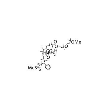 BNC(=O)C(CC(C)(C)C(C)C(CC(C)(C)C(C)(C)C(=O)OCCC(C)(C)OCCC(C)(C)OC)C(=O)O)C(C)C(C)C(c1ccccc1)C(C)(C)SC(=S)SC